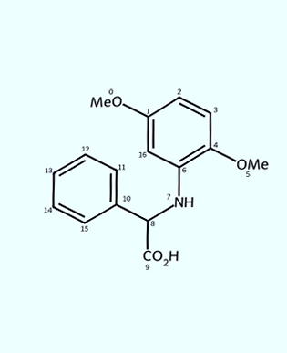 COc1ccc(OC)c(NC(C(=O)O)c2ccccc2)c1